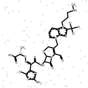 CNCCCn1c(C(Cl)(Cl)Cl)nc2c1ccc[n+]2CC1=C(C=O)N2C(=O)C(NC(=O)/C(=N\O[C@@H](C)C(=O)O)c3nc(N)sc3Cl)C2SC1